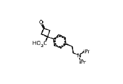 CC(C)N(CCc1ccc(C2(C(=O)O)CC(=O)C2)cc1)C(C)C